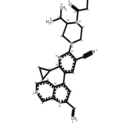 C=Cc1cc(-c2cc(C#N)c(N3CCN(C(=O)COC)C(C(C)C)C3)nc2C2CC2)c2ccncc2n1